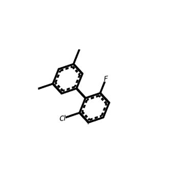 Cc1cc(C)cc(-c2c(Cl)[c]ccc2F)c1